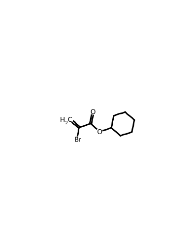 C=C(Br)C(=O)OC1CCCCC1